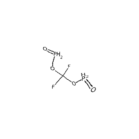 O=[PH2]OC(F)(F)O[PH2]=O